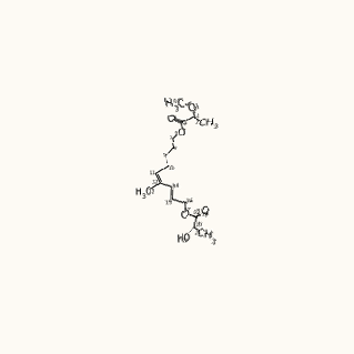 COC(C)C(=O)OCCCCC=C(C)CCCOC(=O)C(C)O